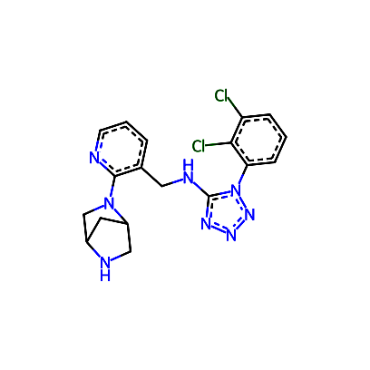 Clc1cccc(-n2nnnc2NCc2cccnc2N2CC3CC2CN3)c1Cl